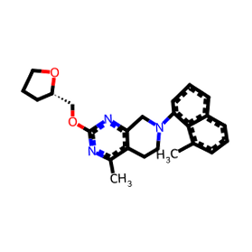 Cc1nc(OC[C@@H]2CCCO2)nc2c1CCN(c1cccc3cccc(C)c13)C2